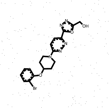 OCc1nnc(-c2ccc(N3CCC(Oc4ccccc4Br)CC3)nn2)o1